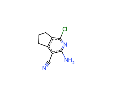 N#Cc1c(N)nc(Cl)c2c1CCC2